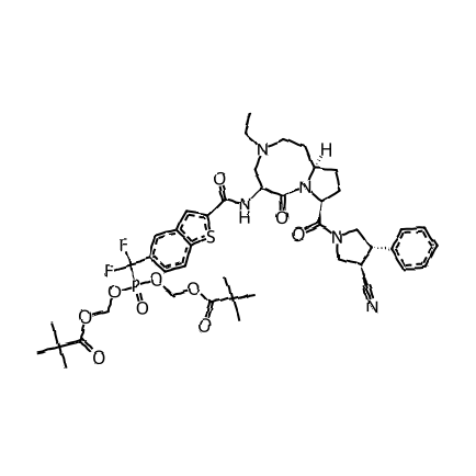 CCN1CC[C@H]2CC[C@@H](C(=O)N3C[C@H](c4ccccc4)[C@@H](C#N)C3)N2C(=O)C(NC(=O)c2cc3cc(C(F)(F)P(=O)(OCOC(=O)C(C)(C)C)OCOC(=O)C(C)(C)C)ccc3s2)C1